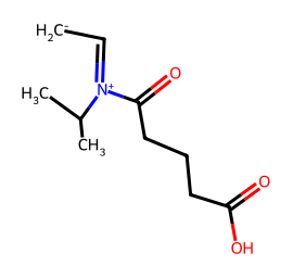 [CH2-]/C=[N+](/C(=O)CCCC(=O)O)C(C)C